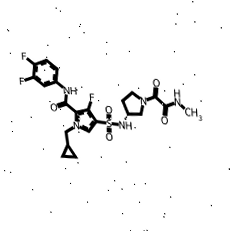 CNC(=O)C(=O)N1CC[C@@H](NS(=O)(=O)c2cn(CC3CC3)c(C(=O)Nc3ccc(F)c(F)c3)c2F)C1